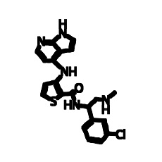 CNCC(NC(=O)c1sccc1Nc1ccnc2[nH]ccc12)c1cccc(Cl)c1